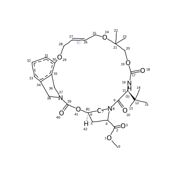 COC(=O)C1C[C@@H]2CN1C(=O)[C@H](C(C)(C)C)NC(=O)OCC(C)(C)OC/C=C/COc1cccc3c1CN(C3)C(=O)O2